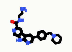 NCCNC(=O)c1cc2c(cn1)[nH]c1ncc(-c3ccc(CN4CCCCC4)cc3)cc12